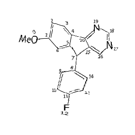 COc1ccc2c(c1)C(c1ccc(F)cc1)c1cncnc1-2